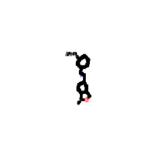 COc1cccc(/C=C/c2ccc3c(c2)COB3C)c1